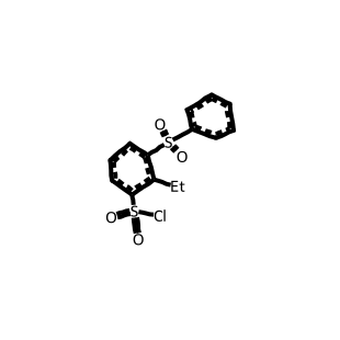 CCc1c(S(=O)(=O)Cl)cccc1S(=O)(=O)c1ccccc1